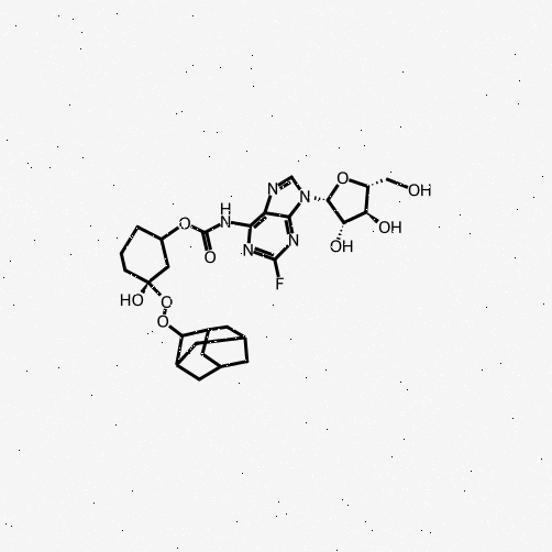 O=C(Nc1nc(F)nc2c1ncn2[C@@H]1O[C@H](CO)[C@@H](O)[C@@H]1O)OC1CCC[C@@](O)(OOC2C3CC4CC(C3)CC2C4)C1